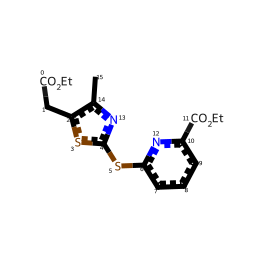 CCOC(=O)Cc1sc(Sc2cccc(C(=O)OCC)n2)nc1C